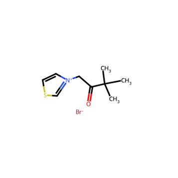 CC(C)(C)C(=O)C[n+]1ccsc1.[Br-]